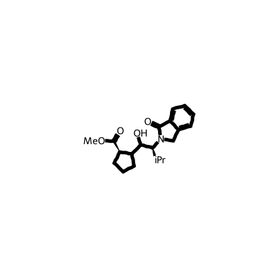 COC(=O)[C@@H]1CCCC1C(O)[C@H](C(C)C)N1Cc2ccccc2C1=O